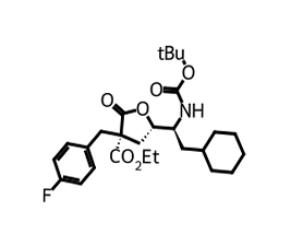 CCOC(=O)[C@@]1(Cc2ccc(F)cc2)C[C@@H]([C@H](CC2CCCCC2)NC(=O)OC(C)(C)C)OC1=O